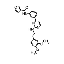 COc1ccc(CCNc2nccc(-c3cccc(NC(=O)c4ccoc4)c3)n2)cc1OC